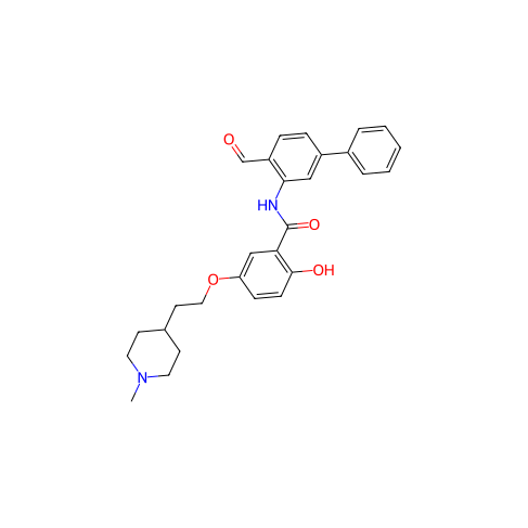 CN1CCC(CCOc2ccc(O)c(C(=O)Nc3cc(-c4ccccc4)ccc3C=O)c2)CC1